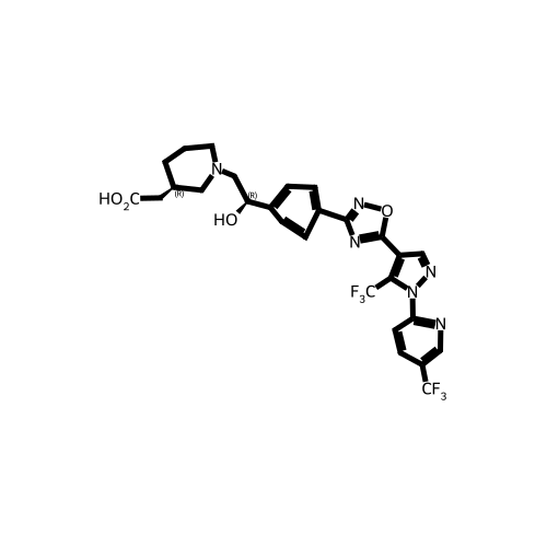 O=C(O)C[C@H]1CCCN(C[C@H](O)c2ccc(-c3noc(-c4cnn(-c5ccc(C(F)(F)F)cn5)c4C(F)(F)F)n3)cc2)C1